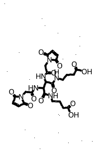 O=C(O)CCCNC(=O)C(NC(=O)CN1C(=O)C=CC1=O)C(NC(=O)CN1C(=O)C=CC1=O)C(=O)NCCCC(=O)O